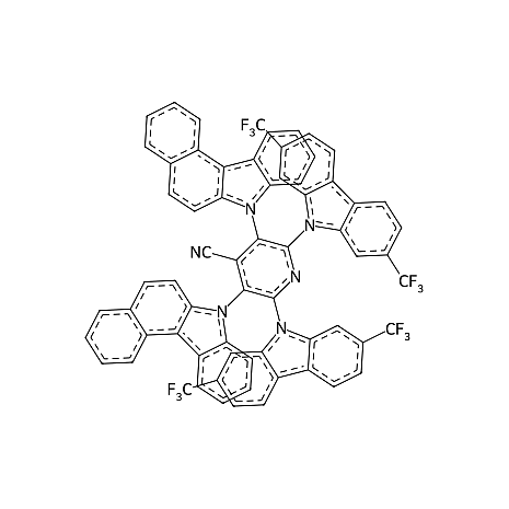 N#Cc1c(-n2c3ccccc3c3c4ccccc4ccc32)c(-n2c3cc(C(F)(F)F)ccc3c3ccc(C(F)(F)F)cc32)nc(-n2c3cc(C(F)(F)F)ccc3c3ccc(C(F)(F)F)cc32)c1-n1c2ccccc2c2c3ccccc3ccc21